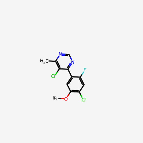 Cc1ncnc(-c2cc(OC(C)C)c(Cl)cc2F)c1Cl